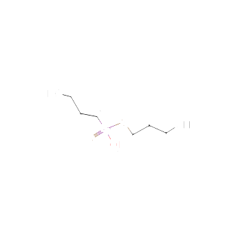 CCCCSP(O)(=S)CCCC